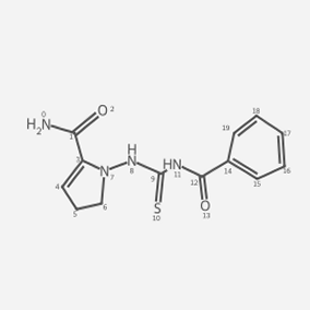 NC(=O)C1=CCCN1NC(=S)NC(=O)c1ccccc1